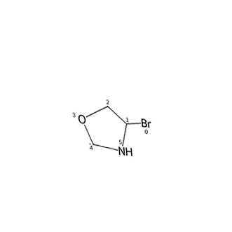 BrC1CO[CH]N1